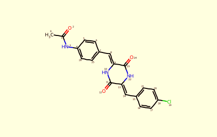 CC(=O)Nc1ccc(C=c2[nH]c(=O)c(=Cc3ccc(Cl)cc3)[nH]c2=O)cc1